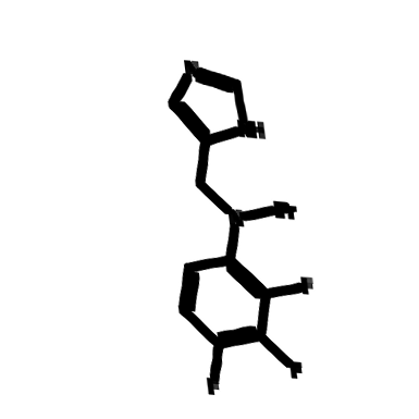 CC(C)N(Cc1cnc[nH]1)c1ccc(F)c(F)c1F